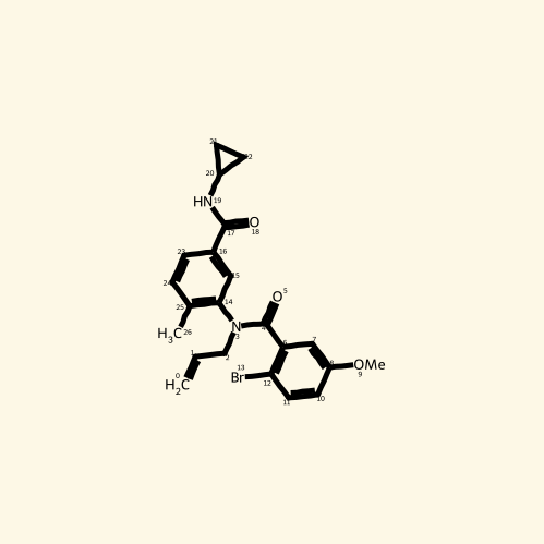 C=CCN(C(=O)c1cc(OC)ccc1Br)c1cc(C(=O)NC2CC2)ccc1C